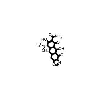 CN(C)[C@@H]1C(O)=C(C(N)=O)C(=O)C2C(O)=C3C(=O)C4N=COC4CC3CC21